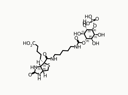 O=C(O)CCCC[C@]1(C(=O)NCCCCCNC(=O)O[C@H]2[C@H](O)[C@H](O)[C@H](OP(=O)(O)O)[C@@H](O)[C@@H]2O)SC[C@@H]2NC(=O)N[C@@H]21